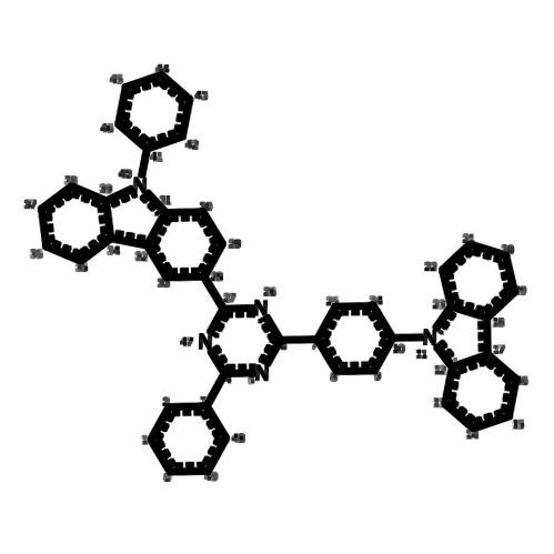 c1ccc(-c2nc(-c3ccc(-n4c5ccccc5c5ccccc54)cc3)nc(-c3ccc4c(c3)c3ccccc3n4-c3ccccc3)n2)cc1